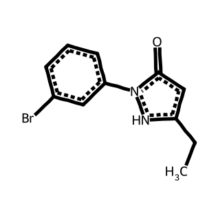 CCc1cc(=O)n(-c2cccc(Br)c2)[nH]1